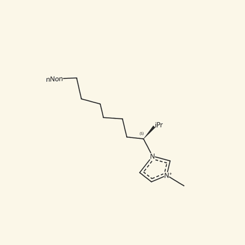 CCCCCCCCCCCCCCC[C@@H](C(C)C)n1cc[n+](C)c1